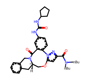 CCCCN(CCCC)C(=O)c1cc2n(n1)-c1ccc(NC(=O)NC3CCCC3)cc1C(=O)N1Cc3ccccc3C[C@H]1CO2